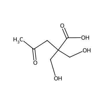 CC(=O)CC(CO)(CO)C(=O)O